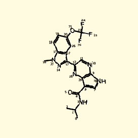 CC(C)NC(=O)c1c[nH]c2ncc(-c3nn(C)c4ccc(OC(F)(F)F)cc34)nc12